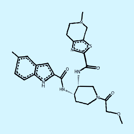 COCC(=O)N1CC[C@H](NC(=O)c2cc3cc(C)ccc3[nH]2)[C@H](NC(=O)c2nc3c(s2)CN(C)CC3)C1